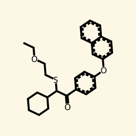 CCOCCSC(C(=O)c1ccc(Oc2ccc3ccccc3c2)cc1)C1CCCCC1